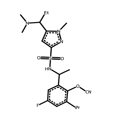 CCC(c1cc(S(=O)(=O)NC(C)c2cc(F)cc(C(C)C)c2OC#N)nn1C)N(C)C